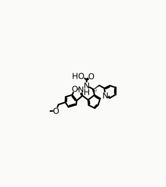 COCc1ccc2c(-c3ccccc3[C@H](Cc3ccccn3)NC(=O)O)noc2c1